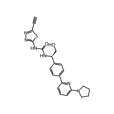 C#Cc1nnc(NC(=O)N[C@@H](CO)c2ccc(-c3cccc(N4CCCC4)n3)cc2)s1